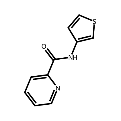 O=C(Nc1ccsc1)c1ccccn1